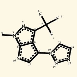 Cn1nc(C(F)(F)F)c2c(-n3ccnn3)csc21